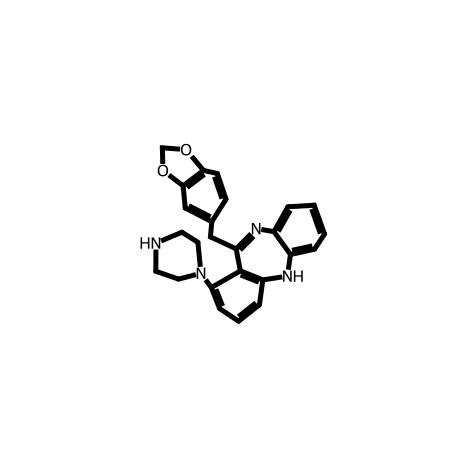 c1ccc2c(c1)N=C(Cc1ccc3c(c1)OCO3)c1c(cccc1N1CCNCC1)N2